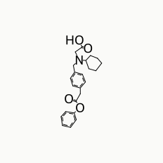 O=C(O)CN(Cc1ccc(CC(=O)Oc2ccccc2)cc1)C1CCCCC1